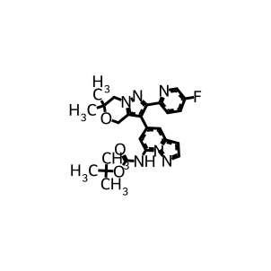 CC(C)(C)OC(=O)Nc1cc(-c2c(-c3ccc(F)cn3)nn3c2COC(C)(C)C3)cc2ccnn12